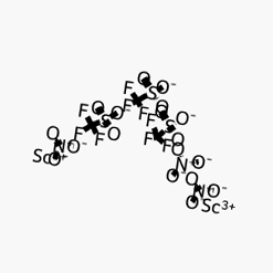 O=S(=O)([O-])C(F)(F)F.O=S(=O)([O-])C(F)(F)F.O=S(=O)([O-])C(F)(F)F.O=[N+]([O-])[O-].O=[N+]([O-])[O-].O=[N+]([O-])[O-].[Sc+3].[Sc+3]